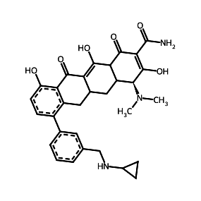 CN(C)[C@@H]1C(O)=C(C(N)=O)C(=O)C2C(O)=C3C(=O)c4c(O)ccc(-c5cccc(CNC6CC6)c5)c4CC3CC21